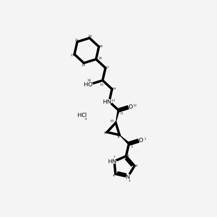 Cl.O=C(c1cnc[nH]1)[C@H]1C[C@H]1C(=O)NCC(O)CC1CCCCC1